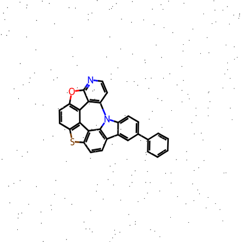 c1ccc(-c2ccc3c(c2)c2ccc4sc5ccc6oc7nccc8c7c6c5c4c2n38)cc1